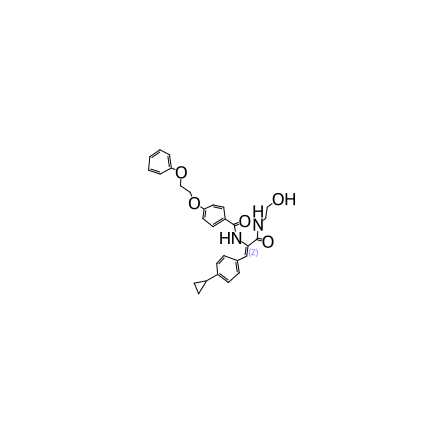 O=C(NCCO)/C(=C/c1ccc(C2CC2)cc1)NC(=O)c1ccc(OCCOc2ccccc2)cc1